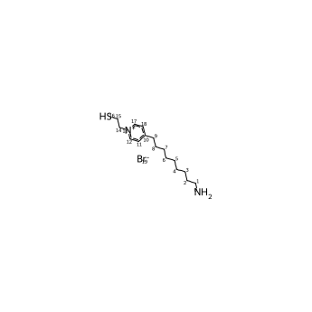 NCCCCCCCCCc1cc[n+](CCS)cc1.[Br-]